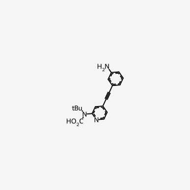 CC(C)(C)N(C(=O)O)c1cc(C#Cc2cccc(N)c2)ccn1